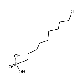 O=P(O)(O)CCCCCCCCCCl